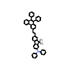 CCC1(CC)c2cc(/C=C/c3ccc4c(-c5ccccc5)c(-c5ccccc5)c5ccccc5c4c3)ccc2-c2ccc(N(c3ccccc3)c3ccccc3)cc21